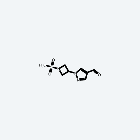 CS(=O)(=O)N1CC(n2cc(C=O)cn2)C1